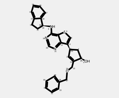 O[C@@H]1C[C@H](c2csc3c(N[C@H]4CCc5ccccc54)ncnc23)C=C1COCc1ccccc1